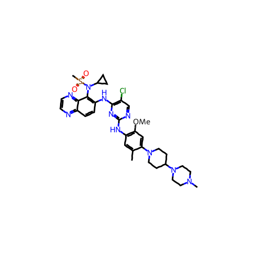 COc1cc(N2CCC(N3CCN(C)CC3)CC2)c(C)cc1Nc1ncc(Cl)c(Nc2ccc3nccnc3c2N(C2CC2)S(C)(=O)=O)n1